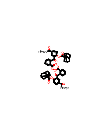 CCCCCCCC(=O)c1ccc(OC(=O)C23CC4CC(CC(C4)C2)C3)c(C(=O)c2ccccc2C(=O)OOC(=O)c2ccccc2C(=O)c2cc(C(=O)CCCCCCC)ccc2OC(=O)C23CC4CC(CC(C4)C2)C3)c1